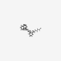 CCCCCCOc1ccccc1OCCNc1ccnc2ccccc12